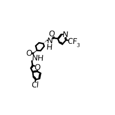 O=C(NC[C@H]1CC[C@H](C(=O)NCc2cc3cc(Cl)ccc3o2)CC1)c1ccc(C(F)(F)F)nc1